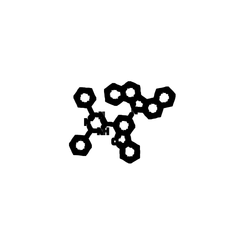 c1ccc(C2=NC(c3ccccc3)NC(c3cc(-n4c5ccc6ccccc6c5c5ccc6ccccc6c54)cc4c3oc3ccccc34)=N2)cc1